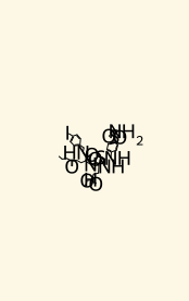 CCCC(=O)CCC(NC(=O)C(CCC(=O)OC)NC(=S)Nc1ccc(S(N)(=O)=O)cc1)C(=O)NCc1ccc(I)cc1